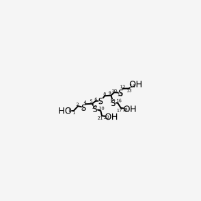 OCCSCC(CSCC(CSCCO)SCCO)SCCO